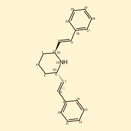 C(=C[C@@H]1CCC[C@@H](/C=C/c2ccccc2)N1)c1ccccc1